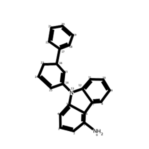 Nc1cccc2c1c1ccccc1n2C1=CC(c2ccccc2)CC=C1